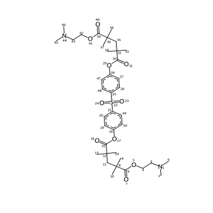 CN(C)CCOC(=O)C(C)(C)CC(C)(C)C(=O)Oc1ccc(S(=O)(=O)c2ccc(OC(=O)C(C)(C)CC(C)(C)C(=O)OCCN(C)C)cc2)cc1